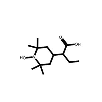 CCC(C(=O)O)C1CC(C)(C)N(O)C(C)(C)C1